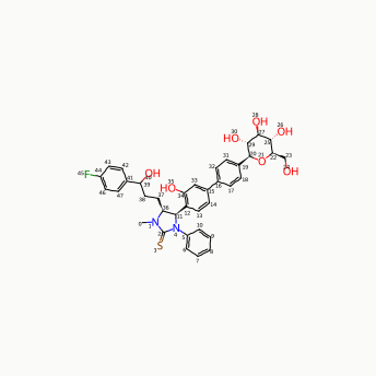 CN1C(=S)N(c2ccccc2)[C@H](c2ccc(-c3ccc([C@@H]4O[C@H](CO)[C@@H](O)[C@H](O)[C@H]4O)cc3)cc2O)[C@@H]1CCC(O)c1ccc(F)cc1